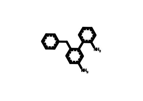 Nc1ccc(Cc2ccccc2)c(-c2ccccc2N)c1